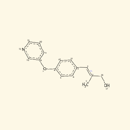 C/C(=C\c1ccc(Oc2cccnc2)cc1)CO